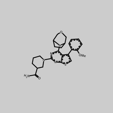 COc1ccccc1-c1csc2nc(N3CCCC(C(N)=O)C3)nc(N3C4CCC3COC4)c12